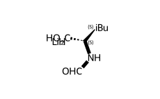 CC[C@H](C)[C@H](NC=O)C(=O)O.[LiH]